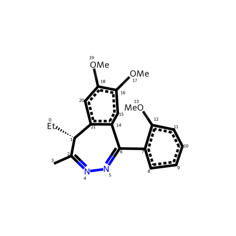 CC[C@H]1C(C)=NN=C(c2ccccc2OC)c2cc(OC)c(OC)cc21